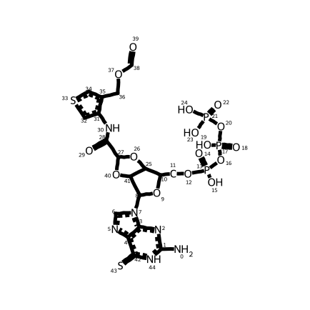 Nc1nc2c(ncn2C2OC(COP(=O)(O)OP(=O)(O)OP(=O)(O)O)C3OC(C(=O)Nc4cscc4COC=O)OC32)c(=S)[nH]1